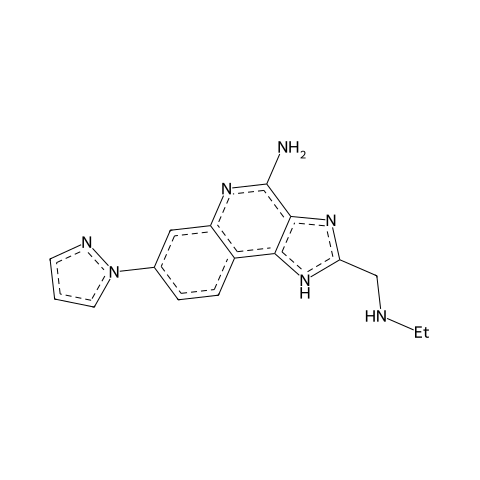 CCNCc1nc2c(N)nc3cc(-n4cccn4)ccc3c2[nH]1